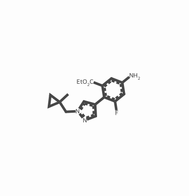 CCOC(=O)c1cc(N)cc(F)c1-c1cnn(CC2(C)CC2)c1